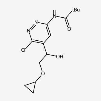 CC(C)(C)C(=O)Nc1cc(C(O)COC2CC2)c(Cl)nn1